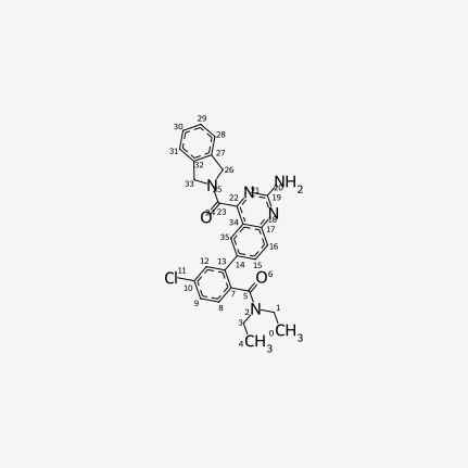 CCN(CC)C(=O)c1ccc(Cl)cc1-c1ccc2nc(N)nc(C(=O)N3Cc4ccccc4C3)c2c1